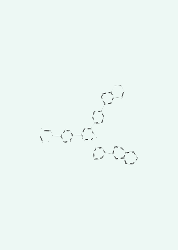 C1=Cc2cc(-c3ccc(-c4cc(-c5ccc(C6C=NC=CC6)cc5)nc(-c5cccc(-c6ccc7ccccc7c6)c5)n4)cc3)ccc2CC1